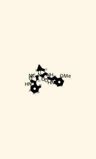 COc1cccc2[nH]c(C(=O)N[C@@H](CC3CC3)C(=O)N[C@H](C#N)C[C@H]3C(=O)Nc4cccc(C)c43)cc12